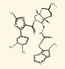 Cc1nc(C(=O)N2C[C@@H]3CC(C)C[C@@H]3[C@H]2CNC(=O)Oc2c(C)nc3sccn23)c(-c2ccc(C)c(C)c2)s1